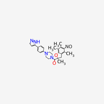 Cc1c(C)c2c(c(C)c1N=O)CC(C)(C(=O)N1CCN(c3ccc(-c4ccn[nH]4)cc3)CC1)O2